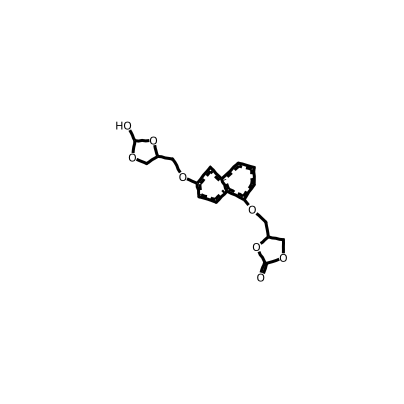 O=C1OCC(COc2cccc3cc(OCC4COC(O)O4)ccc23)O1